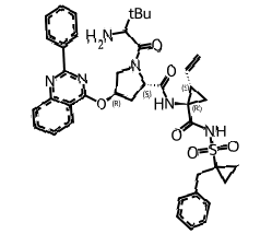 C=C[C@@H]1C[C@]1(NC(=O)[C@@H]1C[C@@H](Oc2nc(-c3ccccc3)nc3ccccc23)CN1C(=O)C(N)C(C)(C)C)C(=O)NS(=O)(=O)C1(Cc2ccccc2)CC1